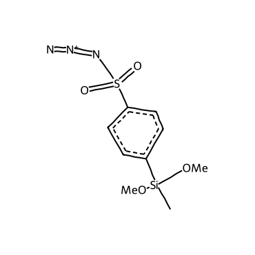 CO[Si](C)(OC)c1ccc(S(=O)(=O)N=[N+]=[N-])cc1